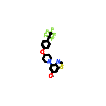 [O]c1cc(N2CCC(Oc3ccc(C(F)(F)C(F)(F)F)cc3)CC2)c2ncsc2c1